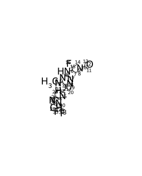 CNc1nc(N[C@@H]2CCN(C3COC3)C[C@@H]2F)nn2ccc(-c3ccc4nc(C)n(CC(F)F)c4n3)c12